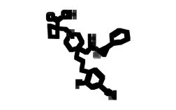 N#Cc1ccc(CCCC2(CN[C@@H]3CC3c3ccccc3)CCN(CC3(C(=O)O)CCC3)CC2)c(F)c1